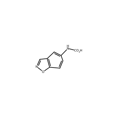 O=C(O)Nc1ccc2oncc2c1